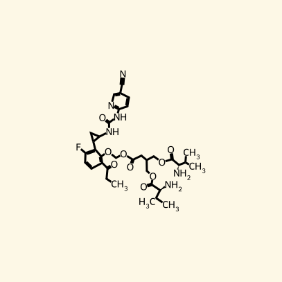 CCC(=O)c1ccc(F)c(C2CC2NC(=O)Nc2ccc(C#N)cn2)c1OCOC(=O)CC(COC(=O)[C@@H](N)C(C)C)COC(=O)[C@@H](N)C(C)C